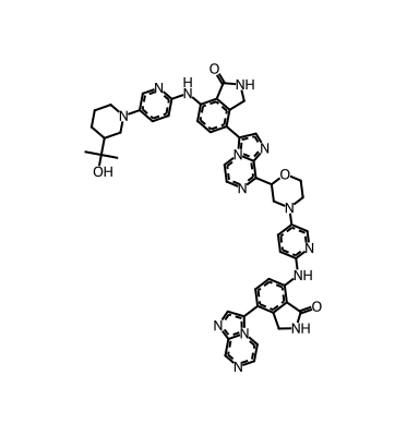 CC(C)(O)C1CCCN(c2ccc(Nc3ccc(-c4cnc5c(C6CN(c7ccc(Nc8ccc(-c9cnc%10cnccn9%10)c9c8C(=O)NC9)nc7)CCO6)nccn45)c4c3C(=O)NC4)nc2)C1